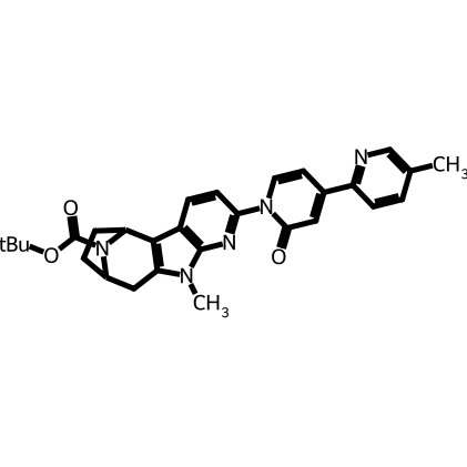 Cc1ccc(-c2ccn(-c3ccc4c5c(n(C)c4n3)CC3CCC5N3C(=O)OC(C)(C)C)c(=O)c2)nc1